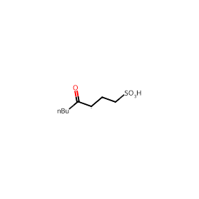 CCCCC(=O)[CH]CCS(=O)(=O)O